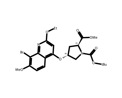 CCOc1cc(O[C@@H]2C[C@@H](C(=O)OC)N(C(=O)OC(C)(C)C)C2)c2ccc(OC)c(Br)c2n1